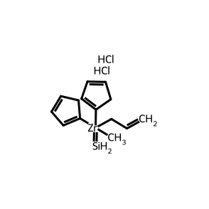 C=C[CH2][Zr]([CH3])(=[SiH2])([C]1=CC=CC1)[C]1=CC=CC1.Cl.Cl